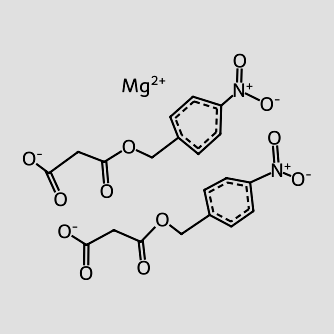 O=C([O-])CC(=O)OCc1ccc([N+](=O)[O-])cc1.O=C([O-])CC(=O)OCc1ccc([N+](=O)[O-])cc1.[Mg+2]